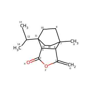 C=C1OC(=O)C2C1C1(C)CCC2(C(C)C)CC1